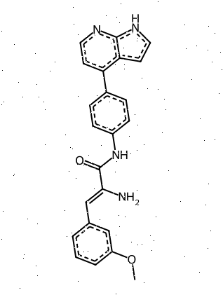 COc1cccc(C=C(N)C(=O)Nc2ccc(-c3ccnc4[nH]ccc34)cc2)c1